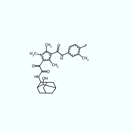 Cc1cc(NC(=O)c2c(C)c(C(=O)C(=O)NC3C4CC5CC(C4)C(O)C3C5)n(C)c2C)ccc1F